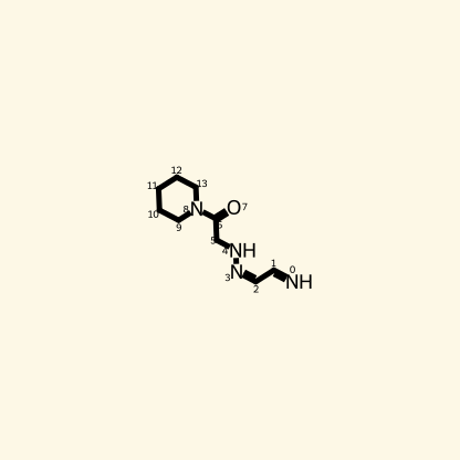 N=C/C=N\NCC(=O)N1CCCCC1